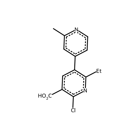 CCc1nc(Cl)c(C(=O)O)cc1-c1ccnc(C)c1